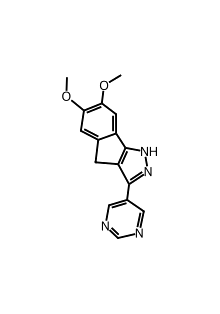 COc1cc2c(cc1OC)-c1[nH]nc(-c3cncnc3)c1C2